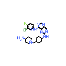 NC1CCN(CC2CCC(Nc3ncc4ncnc(Nc5ccc(F)c(Cl)c5)c4n3)CC2)CC1